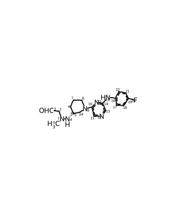 CN(CC=O)N[C@@H]1CCCN(c2cncc(Nc3ccc(F)cc3)n2)C1